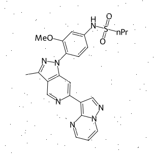 CCCS(=O)(=O)Nc1ccc(-n2nc(C)c3cnc(-c4cnn5cccnc45)cc32)c(OC)c1